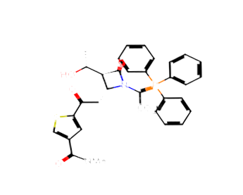 CNC(=O)c1csc(C(=O)C[C@@H]2[C@@H]([C@@H](C)O)C(=O)N2C(C(=O)O)=P(c2ccccc2)(c2ccccc2)c2ccccc2)c1